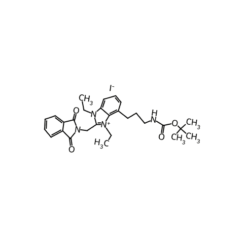 CCn1c(CN2C(=O)c3ccccc3C2=O)[n+](CC)c2c(CCCNC(=O)OC(C)(C)C)cccc21.[I-]